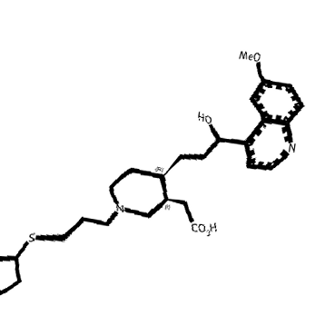 COc1ccc2nccc(C(O)CC[C@@H]3CCN(CCCSC4CCCC4)C[C@@H]3CC(=O)O)c2c1